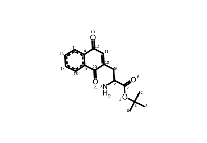 CC(C)(C)OC(=O)C(N)CC1=CC(=O)c2ccccc2C1=O